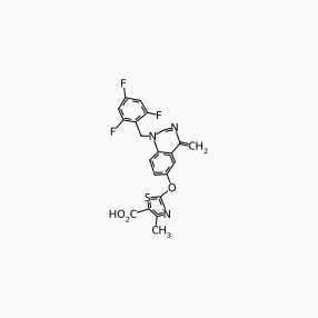 C=C1N=CN(Cc2c(F)cc(F)cc2F)c2ccc(Oc3nc(C)c(C(=O)O)s3)cc21